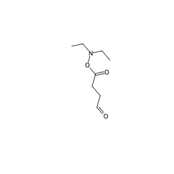 CCN(CC)OC(=O)CCC=O